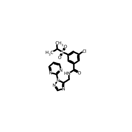 CC(C)S(=O)(=O)c1cc(Cl)cc(C(=O)NCc2ncnn2-c2ncccn2)c1